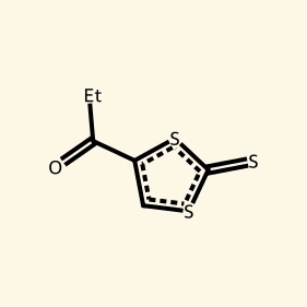 CCC(=O)c1csc(=S)s1